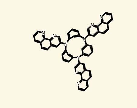 c1cc2cc(c1)N(c1cnc3c(ccc4cccnc43)c1)c1cccc(c1)N(c1cnc3c(ccc4cccnc43)c1)c1cccc(c1)N2c1cnc2c(ccc3cccnc32)c1